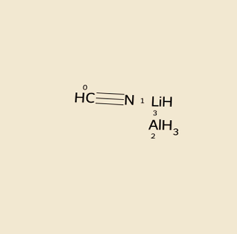 C#N.[AlH3].[LiH]